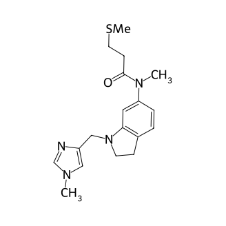 CSCCC(=O)N(C)c1ccc2c(c1)N(Cc1cn(C)cn1)CC2